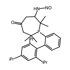 CC(C)c1cc(C(C)C)c(-c2ccccc2P2C(C)(C)CC(=O)CC(NN=O)C2(C)C)c(C(C)C)c1